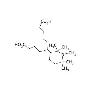 CN1C(C)(C)CCC(C(CCCCC(=O)O)CCCC(=O)O)C1(C)C